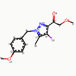 COCC(=O)c1nn(Cc2ccc(OC)cc2)c(C)c1I